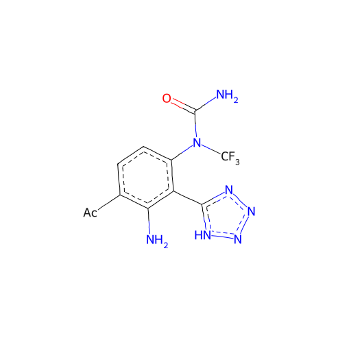 CC(=O)c1ccc(N(C(N)=O)C(F)(F)F)c(-c2nnn[nH]2)c1N